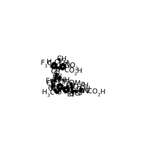 CC1COc2ccccc2N1C(=O)C(Cl)Cl.CCNc1nc(Cl)nc(NC(C)C)n1.CCc1cccc(C)c1N(C(=O)CCl)C(C)COC.C[S+](C)C.O=C(O)CNCP(=O)([O-])O.O=C(O)c1cc(Oc2ccc(C(F)(F)F)cc2Cl)ccc1[N+](=O)[O-]